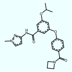 CC(C)Oc1cc(Oc2ccc(C(=O)N3CCC3)cc2)cc(C(=O)Nc2ccn(C)n2)c1